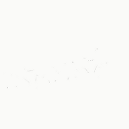 Fc1cc(C2CCCCC2)ccc1C1CCC(C2CCC(c3cc(F)c(F)c(F)c3)CC2)CC1